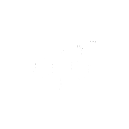 C=C1c2ccccc2C(=O)c2cccc(NN)c21